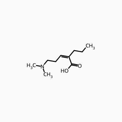 CCCC(=CCCN(C)C)C(=O)O